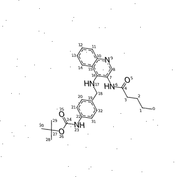 CCCCC(=O)Nc1cnc2ccccc2c1NCc1ccc(NC(=O)OC(C)(C)C)cc1